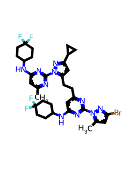 Cc1cc(NC2CCC(F)(F)CC2)nc(-n2nc(C3CC3)cc2CCc2cc(NC3CCC(F)(F)CC3)nc(-n3nc(Br)cc3C)n2)n1